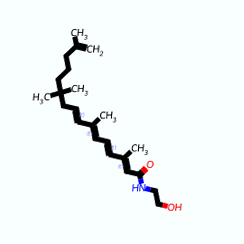 C=C(C)CCCC(C)(C)C/C=C/C(C)=C/C=C/C(C)=C/C(=O)NCCO